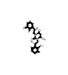 O=C1CC(=O)N(C[C@@H](F)c2cccc(F)c2F)C(=O)N1C[C@@H](F)c1cccc(F)c1F